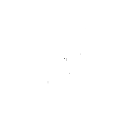 O=C(CN(c1cc(C(F)(F)F)ccc1Cl)S(=O)(=O)c1ccc(Cl)cc1)NCc1ccccc1